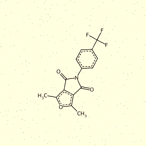 Cc1oc(C)c2c1C(=O)N(c1ccc(C(F)(F)F)cc1)C2=O